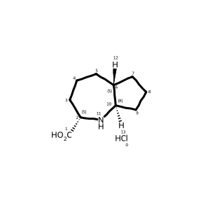 Cl.O=C(O)[C@@H]1CCC[C@@H]2CCC[C@H]2N1